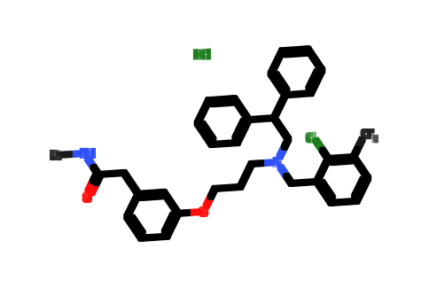 CCNC(=O)Cc1cccc(OCCCN(Cc2cccc(C(F)(F)F)c2Cl)CC(c2ccccc2)c2ccccc2)c1.Cl